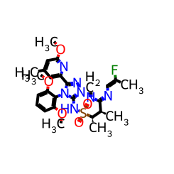 C=N/C(=N\C=C(/C)F)[C@@H](C)[C@H](C)S(=O)(=O)Nc1nnc(-c2cc(C)cc(OC)n2)n1-c1c(OC)cccc1OC